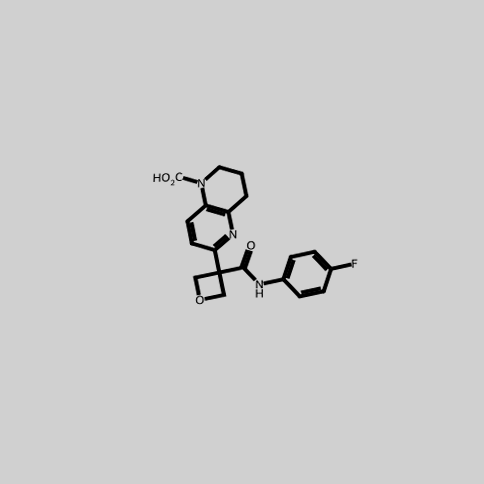 O=C(O)N1CCCc2nc(C3(C(=O)Nc4ccc(F)cc4)COC3)ccc21